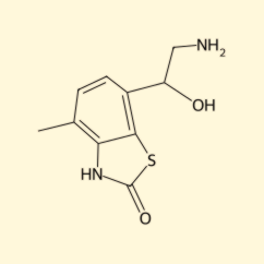 Cc1ccc(C(O)CN)c2sc(=O)[nH]c12